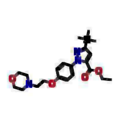 CCOC(=O)c1cc([Si](C)(C)C)nn1-c1ccc(OCCN2CCOCC2)cc1